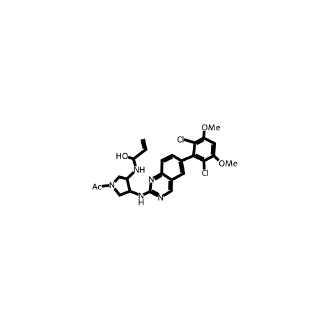 C=CC(O)NC1CN(C(C)=O)CC1Nc1ncc2cc(-c3c(Cl)c(OC)cc(OC)c3Cl)ccc2n1